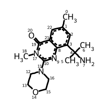 Cc1cc(C(C)(C)N)c2nc(N3CCOCC3)n(C)c(=O)c2c1